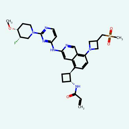 C=CC(=O)N[C@@H]1CC[C@H]1c1ccc(N2CC(CS(C)(=O)=O)C2)c2cnc(Nc3ccnc(N4CC[C@@H](OC)[C@@H](F)C4)n3)cc12